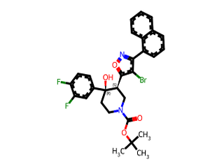 CC(C)(C)OC(=O)N1CC[C@](O)(c2ccc(F)c(F)c2)[C@@H](c2onc(-c3cccc4ccccc34)c2Br)C1